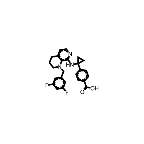 O=C(O)c1ccc(C2(Nc3nccc4c3N(Cc3cc(F)cc(F)c3)CCC4)CC2)cc1